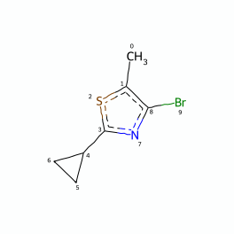 Cc1sc(C2CC2)nc1Br